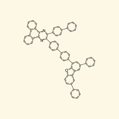 c1ccc(-c2ccc(-c3nc4c5ccccc5c5ccccc5c4nc3-c3ccc(-c4ccc(-c5cc(-c6ccccc6)cc6c5oc5ccc(-c7ccccc7)cc56)cc4)cc3)cc2)cc1